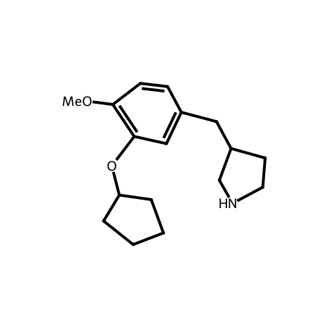 COc1ccc(CC2CCNC2)cc1OC1CCCC1